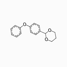 c1ccc(Oc2ccc(C3OCCCO3)cc2)cc1